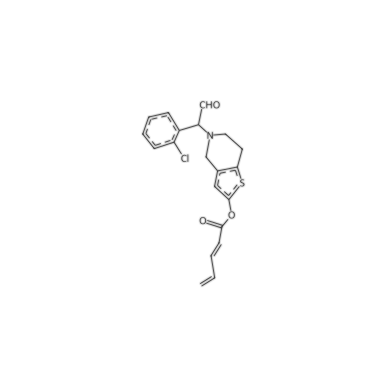 C=C/C=C/C(=O)Oc1cc2c(s1)CCN(C(C=O)c1ccccc1Cl)C2